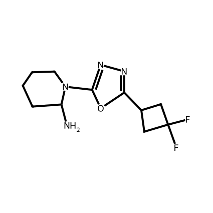 NC1CCCCN1c1nnc(C2CC(F)(F)C2)o1